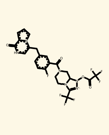 O=C(c1cc(Cc2c[nH]c(=O)c3cccn23)ccc1F)N1CCN2C(C(F)(F)F)=[N+]N(OC(=O)C(F)(F)F)C2C1